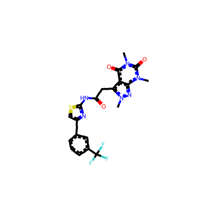 Cn1nc2c(c1CC(=O)Nc1nc(-c3cccc(C(F)(F)F)c3)cs1)c(=O)n(C)c(=O)n2C